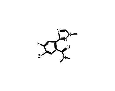 CN(C)C(=O)c1cc(Br)c(F)cc1-c1ncn(C)n1